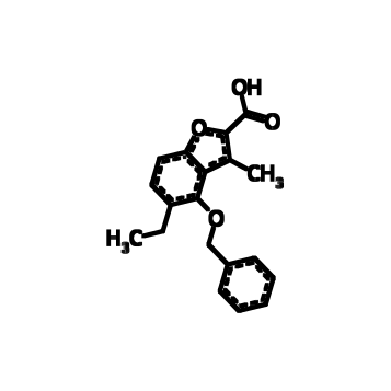 CCc1ccc2oc(C(=O)O)c(C)c2c1OCc1ccccc1